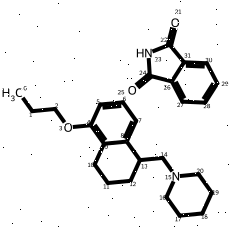 CCCOc1cccc2c1CCCC2CN1CCCCC1.O=C1NC(=O)c2ccccc21